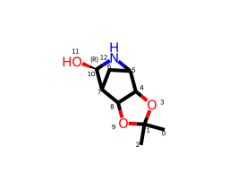 CC1(C)OC2C3CC(C2O1)[C@@H](O)N3